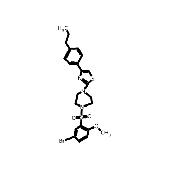 CCCc1ccc(-c2csc(N3CCN(S(=O)(=O)c4cc(Br)ccc4OC)CC3)n2)cc1